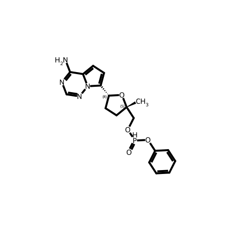 C[C@@]1(CO[PH](=O)Oc2ccccc2)CC[C@H](c2ccc3c(N)ncnn23)O1